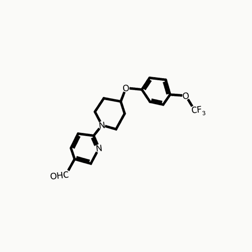 O=Cc1ccc(N2CCC(Oc3ccc(OC(F)(F)F)cc3)CC2)nc1